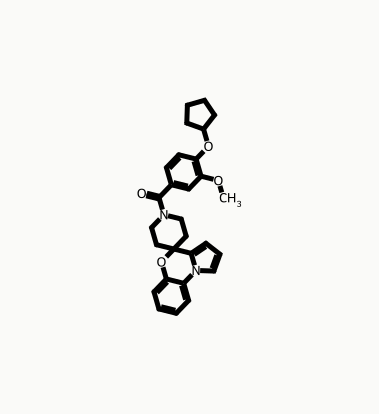 COc1cc(C(=O)N2CCC3(CC2)Oc2ccccc2-n2cccc23)ccc1OC1CCCC1